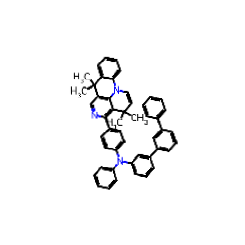 CC1(C)C=CN2c3ccccc3C(C)(C)c3cnc(-c4ccc(N(c5ccccc5)c5cccc(-c6cccc(-c7ccccc7)c6)c5)cc4)c1c32